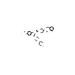 Cc1cc(C[C@@H](OC(=O)N2CCC(N3CCc4ccccc4NC3=O)CC2)C(=O)N2CCN(C3CCN(C)CC3)CC2)cc2oc(=O)[nH]c12